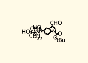 CC(C)(C)OC(=O)n1cc(C=O)c2cc(B(O)OC(C)(C)C(C)(C)O)ccc21